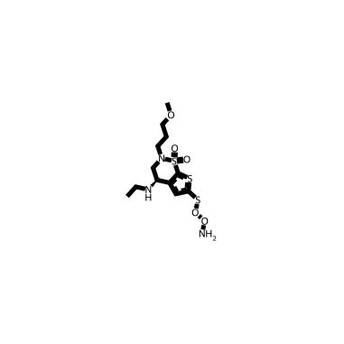 CCN[C@H]1CN(CCCOC)S(=O)(=O)c2sc(SOON)cc21